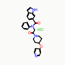 Cl.O=C(CN(C(=O)c1ccc2cc[nH]c2c1)c1ccccc1)N1CCC(Oc2ccncc2)CC1